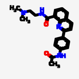 CC(=O)Nc1ccc(-c2ccc3cccc(C(=O)NCCN(C)C)c3n2)cc1